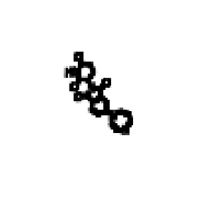 O=C1CCC(N2C(=O)c3ccc(N4C=CC=NC=C4)cc3C2=O)C(=O)N1